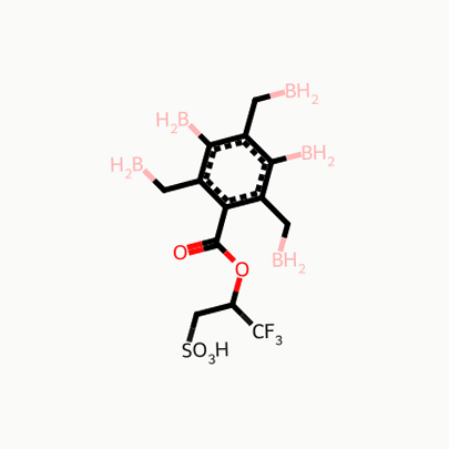 BCc1c(B)c(CB)c(C(=O)OC(CS(=O)(=O)O)C(F)(F)F)c(CB)c1B